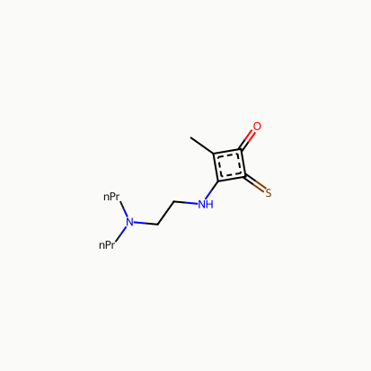 CCCN(CCC)CCNc1c(C)c(=O)c1=S